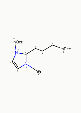 CCCCCCCCCCCCCC1N(CCCCCCCC)C=CN1C(C)C